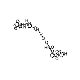 CN(C)C(=O)c1cc2cnc(Nc3ccc(N4CCN(CCOCCOCCOCCNC(=O)COc5cccc6c5C(=O)N(C5CCC(=O)NC5=O)C6=O)CC4)cn3)nc2n1C1CCCC1